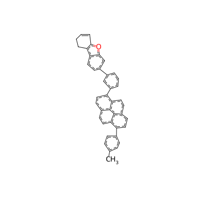 Cc1ccc(-c2ccc3ccc4c(-c5cccc(-c6ccc7c8c(oc7c6)C=CCC8)c5)ccc5ccc2c3c54)cc1